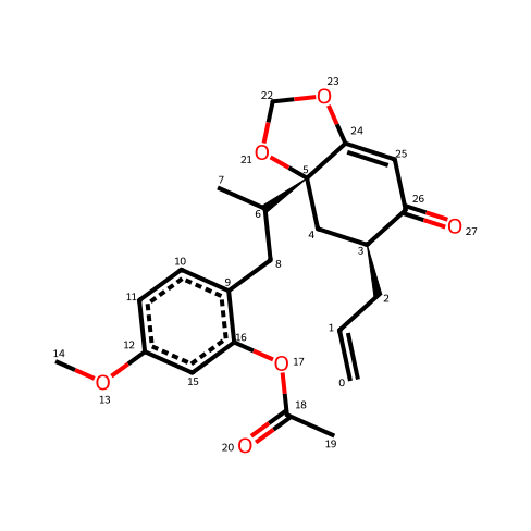 C=CC[C@H]1C[C@]2(C(C)Cc3ccc(OC)cc3OC(C)=O)OCOC2=CC1=O